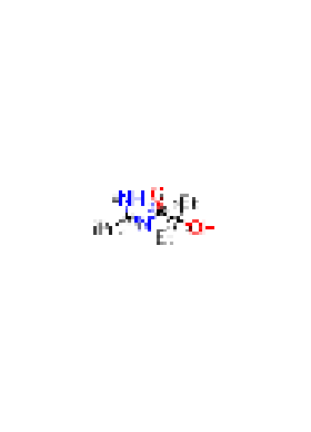 CCC(O)(CC)C(=O)/N=C(\N)C(C)C